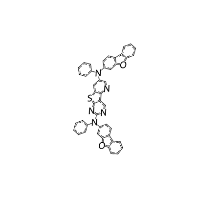 c1ccc(N(c2ccc3c(c2)oc2ccccc23)c2cnc3c(c2)sc2nc(N(c4ccccc4)c4ccc5c(c4)oc4ccccc45)ncc23)cc1